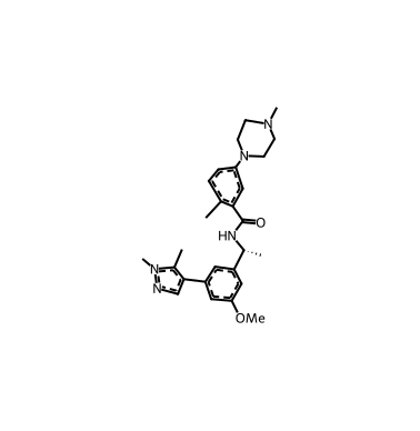 COc1cc(-c2cnn(C)c2C)cc([C@@H](C)NC(=O)c2cc(N3CCN(C)CC3)ccc2C)c1